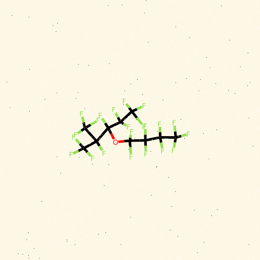 FC(F)(F)C(F)(F)C(F)(F)C(F)(F)OC(F)(C(F)(F)C(F)(F)F)C(F)(C(F)(F)F)C(F)(F)F